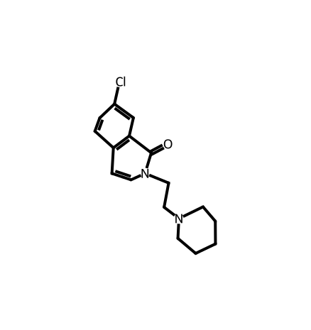 O=c1c2cc(Cl)ccc2ccn1CCN1CCCCC1